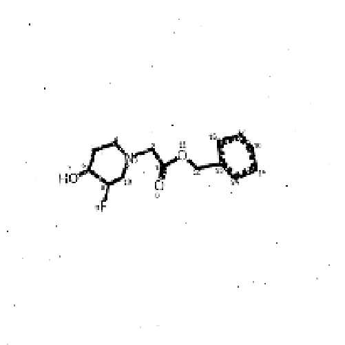 O=C(CN1CCC(O)[C@H](F)C1)OCc1ccccc1